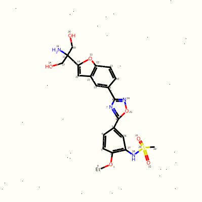 CCOc1ccc(-c2nc(-c3ccc4oc(C(N)(CO)CO)cc4c3)no2)cc1NS(C)(=O)=O